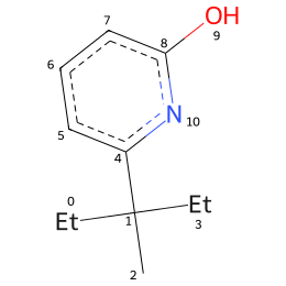 CCC(C)(CC)c1cccc(O)n1